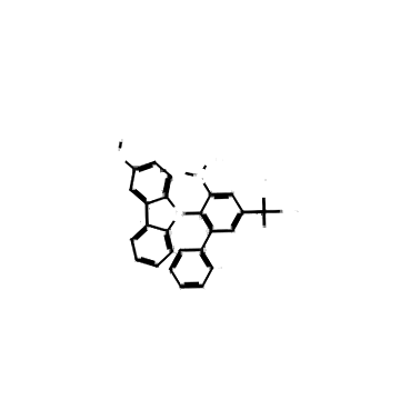 COc1ccc2c(c1)c1ccccc1n2-c1c(-c2ccccc2)cc(C(F)(F)F)cc1N(C)C